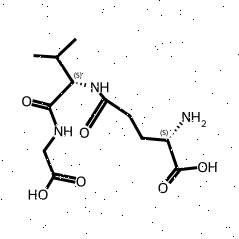 CC(C)[C@H](NC(=O)CC[C@H](N)C(=O)O)C(=O)NCC(=O)O